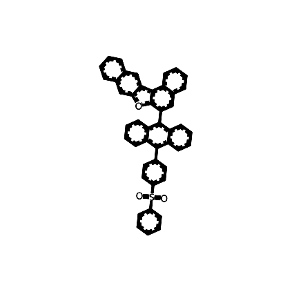 O=S(=O)(c1ccccc1)c1ccc(-c2c3ccccc3c(-c3cc4ccccc4c4c3oc3cc5ccccc5cc34)c3ccccc23)cc1